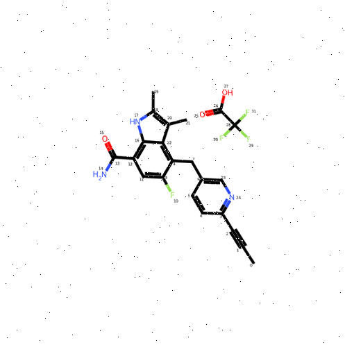 CC#Cc1ccc(Cc2c(F)cc(C(N)=O)c3[nH]c(C)c(C)c23)cn1.O=C(O)C(F)(F)F